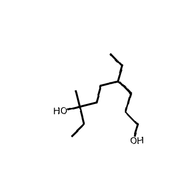 CCC(CCCO)CCC(C)(O)CC